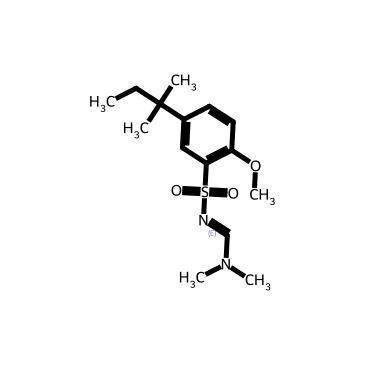 CCC(C)(C)c1ccc(OC)c(S(=O)(=O)/N=C/N(C)C)c1